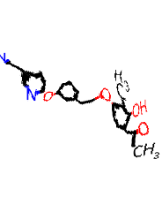 CCC(=O)c1ccc(OCc2cccc(Oc3ccc(C#N)cn3)c2)c(C)c1O